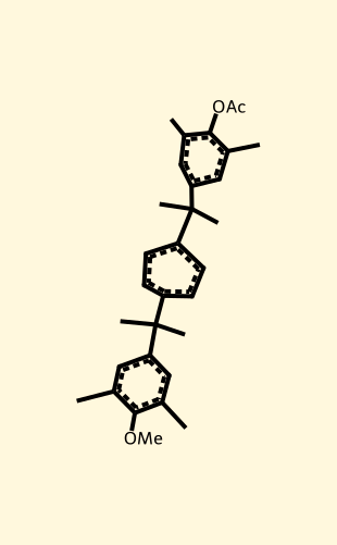 COc1c(C)cc(C(C)(C)c2ccc(C(C)(C)c3cc(C)c(OC(C)=O)c(C)c3)cc2)cc1C